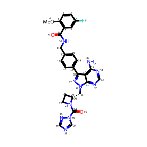 COc1ccc(F)cc1C(=O)NCc1ccc(-c2nn(C[C@H]3CCN3C(=O)n3cncn3)c3ncnc(N)c23)cc1